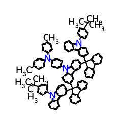 Cc1ccc(N(c2ccc(C)cc2)c2ccc(-n3c4ccc(C5(c6ccc7c(c6)c6ccccc6n7-c6ccc(C(C)(C)C)cc6)c6ccccc6-c6ccccc65)cc4c4cc(C5(c6ccc7c(c6)c6ccccc6n7-c6ccc(C(C)(C)C)cc6)c6ccccc6-c6ccccc65)ccc43)cc2)cc1